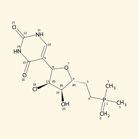 C=P(C)(C)CC[C@H]1OC(c2c[nH]c(=O)[nH]c2=O)[C@H](Cl)[C@@H]1O